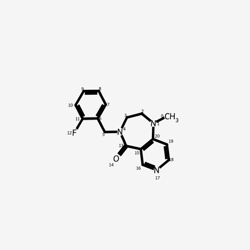 CN1CCN(Cc2ccccc2F)C(=O)c2cnccc21